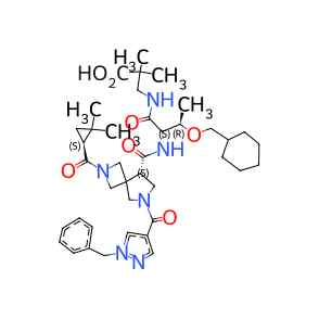 C[C@@H](OCC1CCCCC1)[C@H](NC(=O)[C@@H]1CN(C(=O)c2cnn(Cc3ccccc3)c2)CC12CN(C(=O)[C@H]1CC1(C)C)C2)C(=O)NCC(C)(C)C(=O)O